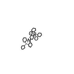 c1ccc(C2c3ccccc3N(c3cc4c5c(c3)Oc3ccccc3B5c3ccccc3O4)c3ccccc32)cc1